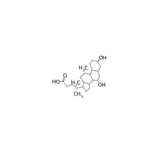 C[C@H](CCC(=O)O)C1CCC2C3C(O)CC4C[C@H](O)CC[C@]4(C)C3CC[C@@]21C